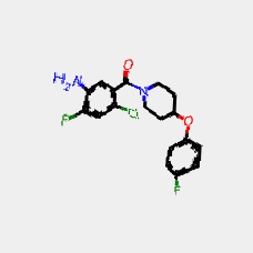 Nc1cc(C(=O)N2CCC(Oc3ccc(F)cc3)CC2)c(Cl)cc1F